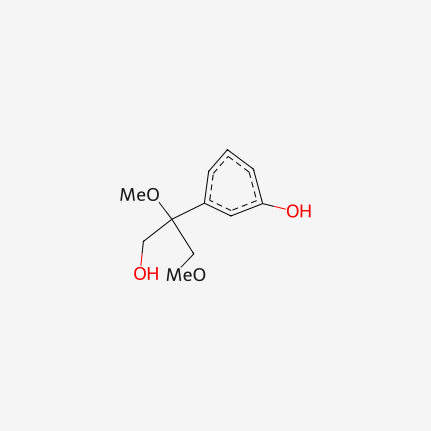 COCC(CO)(OC)c1cccc(O)c1